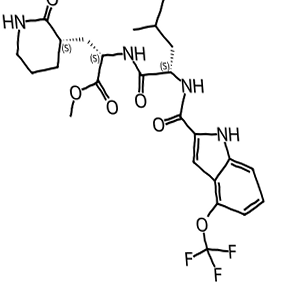 COC(=O)[C@H](C[C@@H]1CCCNC1=O)NC(=O)[C@H](CC(C)C)NC(=O)c1cc2c(OC(F)(F)F)cccc2[nH]1